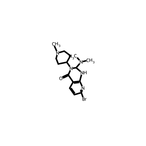 CN1CCC(N2C(=O)c3ccc(Br)nc3NC2N(C)C)CC1